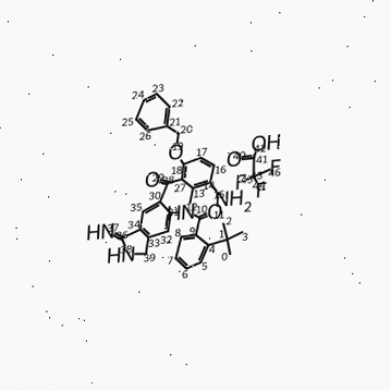 CC(C)(C)c1ccccc1C(=O)Nc1c(N)ccc(OCc2ccccc2)c1C(=O)c1ccc2c(c1)C(=N)NC2.O=C(O)C(F)(F)F